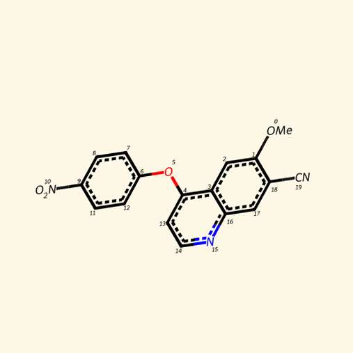 COc1cc2c(Oc3ccc([N+](=O)[O-])cc3)ccnc2cc1C#N